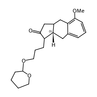 COc1cccc2c1CC1CC(=O)C(CCCOC3CCCCO3)[C@H]1C2